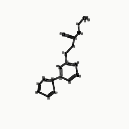 CCOC(=O)CSc1nncc(-c2ccccc2)n1